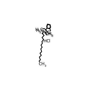 CCCCCCCCCCCCCCCC[N+](C)(C)C(CC)(CC)c1ccccc1CC.Cl